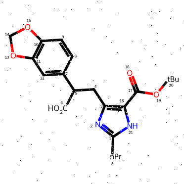 CCCc1nc(CC(C(=O)O)c2ccc3c(c2)OCO3)c(C(=O)OC(C)(C)C)[nH]1